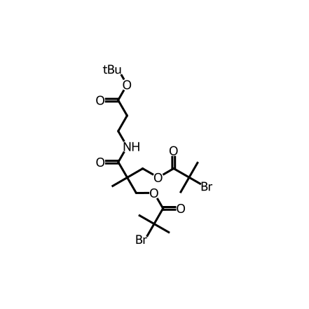 CC(C)(C)OC(=O)CCNC(=O)C(C)(COC(=O)C(C)(C)Br)COC(=O)C(C)(C)Br